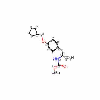 CC(C)(C)OC(=O)N[C@@H](Cc1ccc(OCC2CCCC2)cc1)C(=O)O